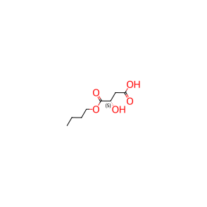 CCCCOC(=O)[C@@H](O)CC(=O)O